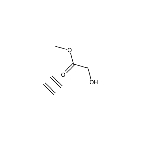 C=C.C=C.COC(=O)CO